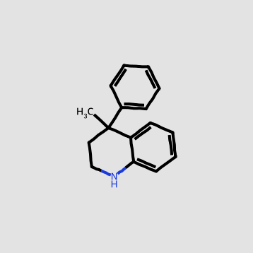 CC1(c2ccccc2)CCNc2ccccc21